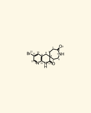 O=C1CCC2(CCN1)Cc1cc(Br)cnc1NC2=O